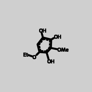 CCOc1cc(O)c(O)c(OC)c1O